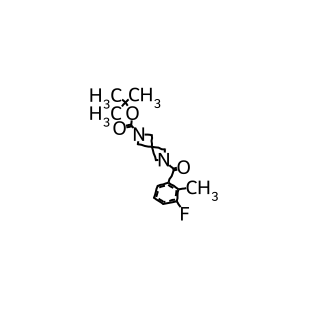 Cc1c(F)cccc1C(=O)N1CC2(CN(C(=O)OC(C)(C)C)C2)C1